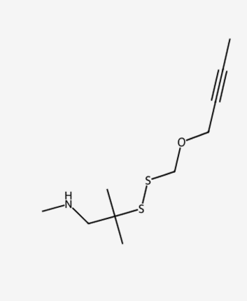 CC#CCOCSSC(C)(C)CNC